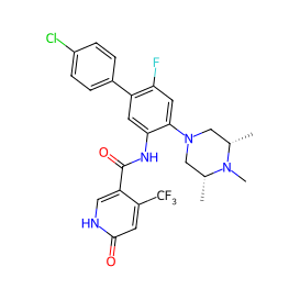 C[C@@H]1CN(c2cc(F)c(-c3ccc(Cl)cc3)cc2NC(=O)c2c[nH]c(=O)cc2C(F)(F)F)C[C@H](C)N1C